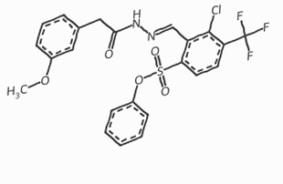 COc1cccc(CC(=O)NN=Cc2c(S(=O)(=O)Oc3ccccc3)ccc(C(F)(F)F)c2Cl)c1